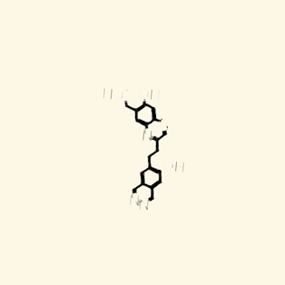 CCc1cc2nc(CCc3cc4cnncc4cc3O)cnc2cc1O